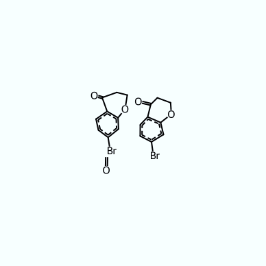 C=O.O=C1CCOc2cc(Br)ccc21.O=C1CCOc2cc(Br)ccc21